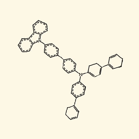 C1=CCCC(c2ccc(N(C3=CC=C(C4=CCCC=C4)CC3)c3ccc(-c4ccc(-n5c6ccccc6c6ccccc65)cc4)cc3)cc2)=C1